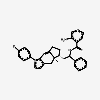 C[C@]12Cc3cnn(-c4ccc(F)cc4)c3C=C1CC[C@@H]2CC(NC(=O)c1ccncc1N)c1ccccc1